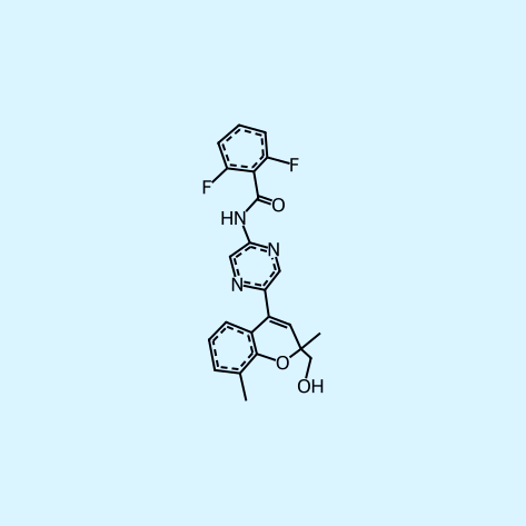 Cc1cccc2c1OC(C)(CO)C=C2c1cnc(NC(=O)c2c(F)cccc2F)cn1